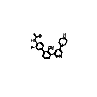 CC(=O)Nc1ccc(-c2cccc(-c3cncc(N4CCNCC4)c3)c2O)cc1F